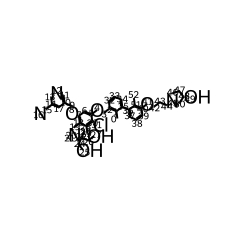 Cc1c(COc2cc(OCc3cncc(C#N)c3)c(CN(C)C(C)(CO)CO)c(C)c2Cl)cccc1-c1cccc(OCCCN2CCC(O)C2)c1C